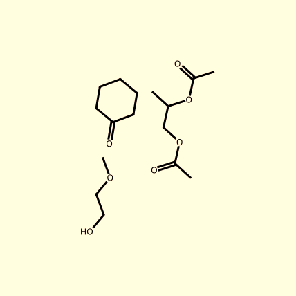 CC(=O)OCC(C)OC(C)=O.COCCO.O=C1CCCCC1